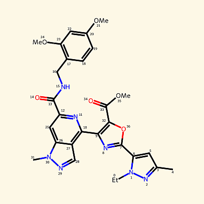 CCn1nc(C)cc1-c1nc(-c2nc(C(=O)NCc3ccc(OC)cc3OC)cc3c2cnn3C)c(C(=O)OC)o1